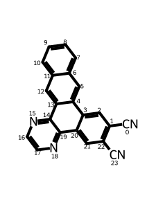 N#Cc1cc2c3cc4ccccc4cc3c3nccnc3c2cc1C#N